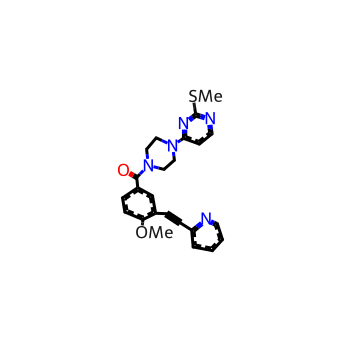 COc1ccc(C(=O)N2CCN(c3ccnc(SC)n3)CC2)cc1C#Cc1ccccn1